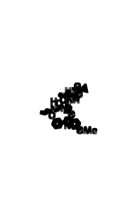 C=C[C@@H]1C[C@]1(NC(=O)[C@@H]1C[C@@H](Oc2cc(-c3ccccc3)nc3cc(OC)ccc23)CN1C(=O)CNC(=O)C=CC)C(=O)NS(=O)(=O)C1CC1